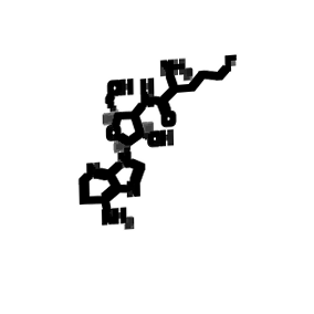 Nc1ccnc2c1ncn2[C@@H]1O[C@H](CO)C(NC(=O)C(N)CCCF)[C@@H]1O